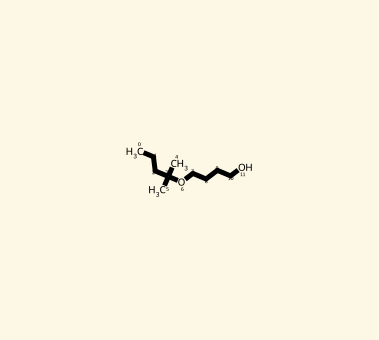 CCCC(C)(C)OCCCCO